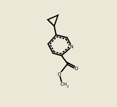 COC(=O)c1ccc(C2CC2)cn1